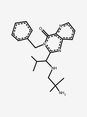 CC(C)C(NCC(C)(C)N)c1nc2cccnc2c(=O)n1Cc1ccccc1